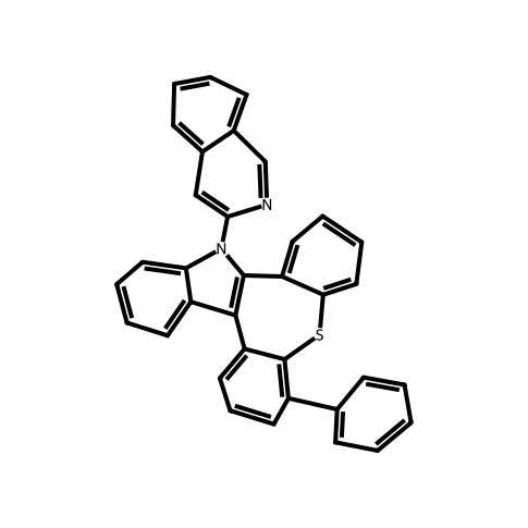 c1ccc(-c2cccc3c2Sc2ccccc2-c2c-3c3ccccc3n2-c2cc3ccccc3cn2)cc1